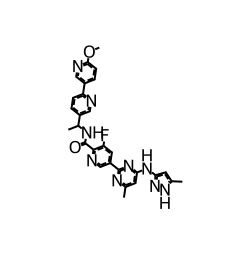 COc1ccc(-c2ccc(C(C)NC(=O)c3ncc(-c4nc(C)cc(Nc5cc(C)[nH]n5)n4)cc3F)cn2)cn1